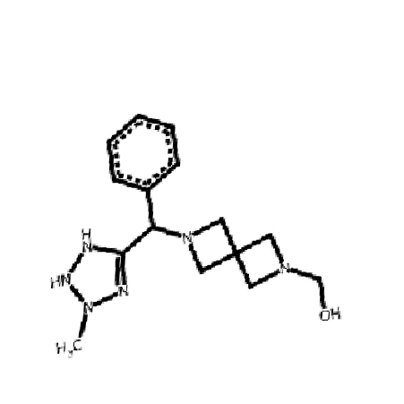 CN1N=C(C(c2ccccc2)N2CC3(CN(CO)C3)C2)NN1